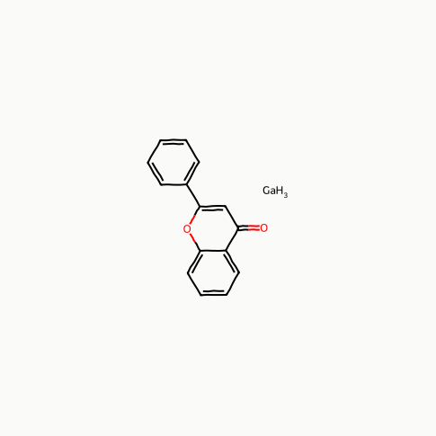 O=c1cc(-c2ccccc2)oc2ccccc12.[GaH3]